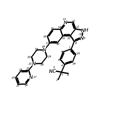 CC(C)(C#N)c1ccc(-c2n[nH]c3cnc4ccc(N5CCN(c6ccccn6)CC5)cc4c23)cc1